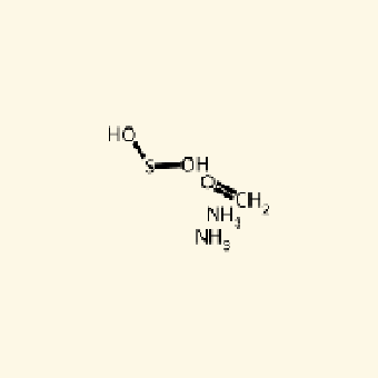 C=O.N.N.OSO